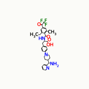 CCc1cc(C(=O)C(F)(F)F)cc(C)c1C(=O)NC(Cc1ccc(N2CCC(C(N)c3ccccn3)CC2)cc1)C(=O)O